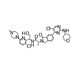 CC(C(=O)NC(CO)c1nc(N2CCN(C)CC2)ccc1Cl)N1Cc2ccc(-c3nc(NC4CCOCC4)ncc3Cl)cc2C1=O